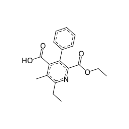 CCOC(=O)c1nc(CC)c(C)c(C(=O)O)c1-c1ccccc1